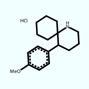 COc1ccc(C2CCCNC23CCCCC3)cc1.Cl